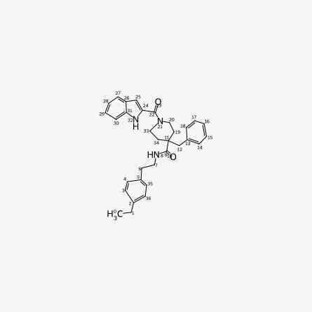 CCc1ccc(CCNC(=O)C2(Cc3ccccc3)CCN(C(=O)c3cc4ccccc4[nH]3)CC2)cc1